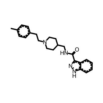 Cc1ccc(CCN2CCC(CNC(=O)c3n[nH]c4ccccc34)CC2)cc1